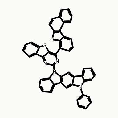 c1ccc(-n2c3ccccc3c3cc4c(cc32)c2ccccc2n4-c2nc(-c3cccc4c3oc3ccc5ccccc5c34)c3sc4ccccc4c3n2)cc1